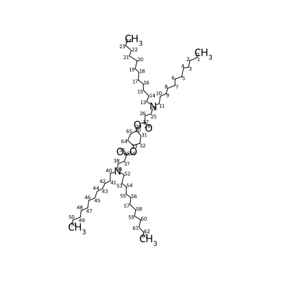 CCCCCCCCCCCCN(CCCCCCCCCCCC)CCC(=O)O[C@H]1CC[C@H](OC(=O)CCN(CCCCCCCCCCCC)CCCCCCCCCCCC)CC1